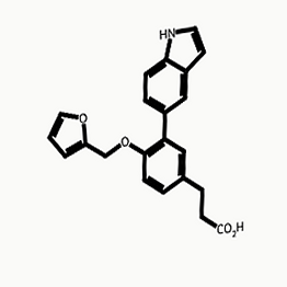 O=C(O)CCc1ccc(OCc2ccco2)c(-c2ccc3[nH]ccc3c2)c1